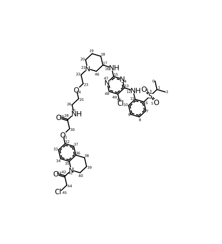 CC(C)S(=O)(=O)c1ccccc1Nc1nc(NC2CCCN(CCOCCNC(=O)COc3ccc4c(c3)CCCN4C(=O)CCl)C2)ncc1Cl